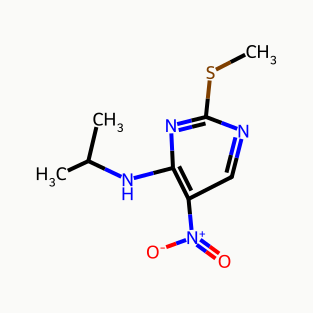 CSc1ncc([N+](=O)[O-])c(NC(C)C)n1